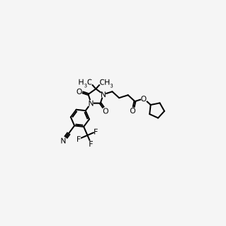 CC1(C)C(=O)N(c2ccc(C#N)c(C(F)(F)F)c2)C(=O)N1CCCC(=O)OC1CCCC1